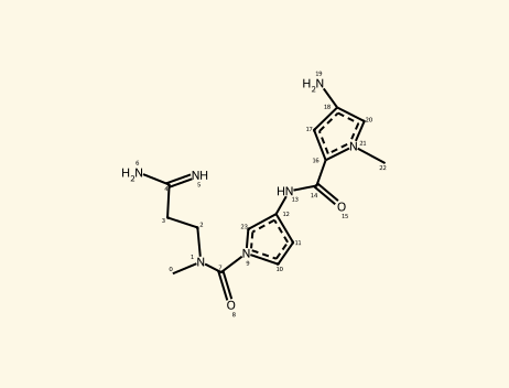 CN(CCC(=N)N)C(=O)n1ccc(NC(=O)c2cc(N)cn2C)c1